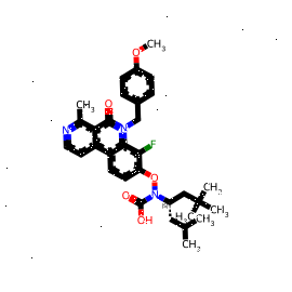 COc1ccc(Cn2c(=O)c3c(C)nccc3c3ccc(ON(C(=O)O)[C@@H](CC(C)C)CC(C)(C)C)c(F)c32)cc1